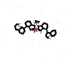 CC1=Cc2c(-c3cccc4ccccc34)cccc2[CH]1[Zr]1([CH]2C(C)=Cc3c(-c4cccc5ccccc45)cccc32)[CH2][CH2]1